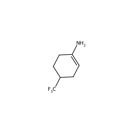 NC1=CCC(C(F)(F)F)CC1